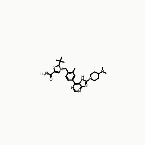 Cc1cc(-c2ncnc3nc(N4CCC(N(C)C)CC4)[nH]c23)ccc1CN1C=C(C(N)=O)SC1C(C)(C)C